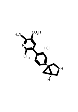 Cc1nc(N)c(C(=O)O)cc1-c1ccc([C@]23CNC[C@H]2C3)cc1.Cl